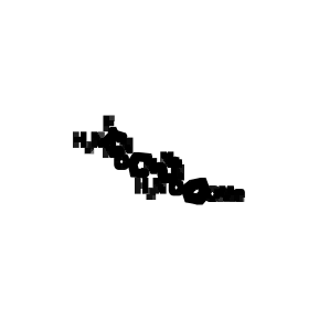 COc1ccc(Oc2ncnc(N3CCC(Oc4ncc(F)c(N)n4)CC3)c2N)cc1